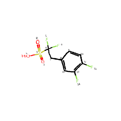 O=S(=O)(O)C(F)(F)Cc1ccc(F)c(F)c1